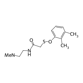 CNCCNC(=O)CSOc1cccc(C)c1C